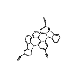 N#Cc1cc(-n2c3ccccc3c3cc(C#N)ccc32)c(-c2ccncc2)c(-n2c3ccccc3c3cc(C#N)ccc32)c1